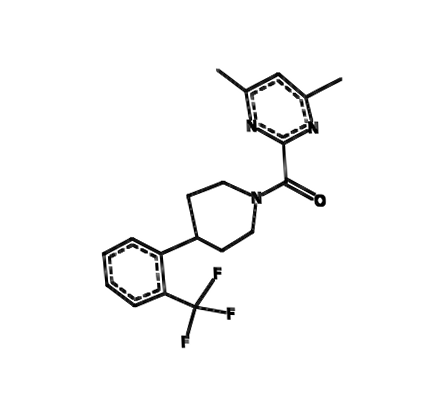 Cc1cc(C)nc(C(=O)N2CCC(c3ccccc3C(F)(F)F)CC2)n1